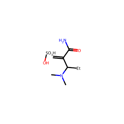 C=C(C(N)=O)C(CC)N(C)C.O=S(=O)(O)O